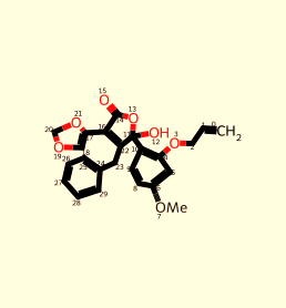 C=CCOc1cc(OC)ccc1C1(O)OC(=O)C(C2=COCO2)=C1Cc1ccccc1